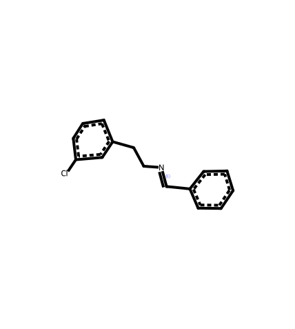 Clc1cccc(CC/N=C/c2ccccc2)c1